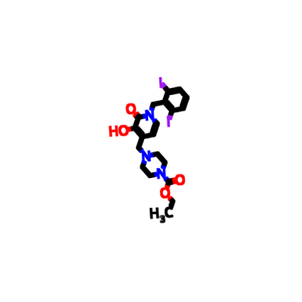 CCOC(=O)N1CCN(Cc2ccn(Cc3c(I)cccc3I)c(=O)c2O)CC1